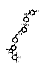 Cn1nc(N2CCC(=O)NC2=O)c2ccc(N3CCC(CNCc4cccc(S(=O)(=O)N5CCC(Nc6ncc(Cl)cn6)CC5)c4)CC3)cc21